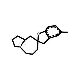 Cc1ccc2c(c1)CC1(CCCN3CCCC3C1)O2